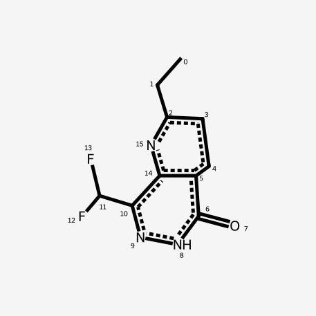 CCc1ccc2c(=O)[nH]nc(C(F)F)c2n1